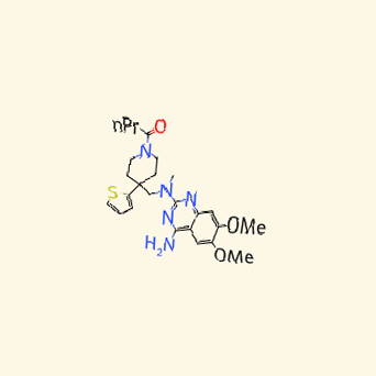 CCCC(=O)N1CCC(CN(C)c2nc(N)c3cc(OC)c(OC)cc3n2)(c2cccs2)CC1